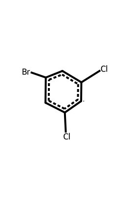 Clc1[c]c(Cl)cc(Br)c1